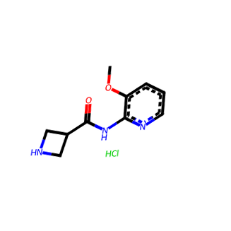 COc1cccnc1NC(=O)C1CNC1.Cl